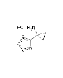 Cl.NC1(c2nncs2)CC1